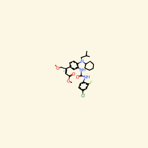 COC/C(=C/C(=O)OC)c1ccc(N(CC(C)C)C2CCCCC2)c(NC(=O)Nc2ccc(Cl)cc2F)c1